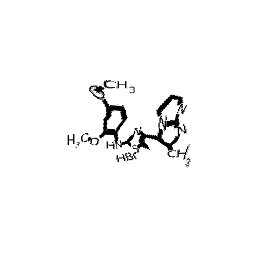 Br.COc1ccc(Nc2nc(-c3c(C)nc4ncccn34)cs2)c(OC)c1